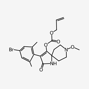 C=CCOC(=O)OC1=C(c2c(C)cc(Br)cc2C)C(=O)NC12CCN(OC)CC2